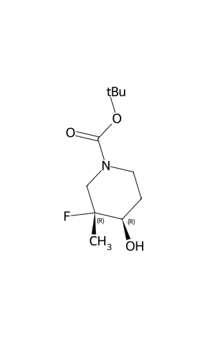 CC(C)(C)OC(=O)N1CC[C@@H](O)[C@](C)(F)C1